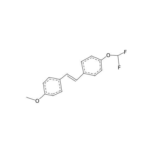 COc1ccc(C=Cc2ccc(OC(F)F)cc2)cc1